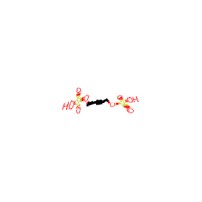 O=S(=O)(O)OCC#CCOS(=O)(=O)O